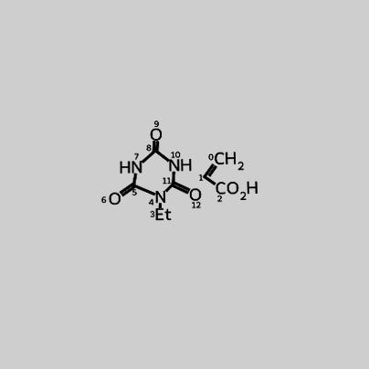 C=CC(=O)O.CCn1c(=O)[nH]c(=O)[nH]c1=O